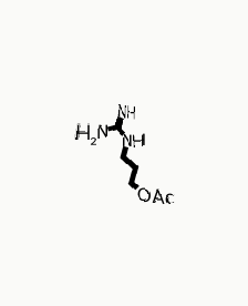 CC(=O)OCCCNC(=N)N